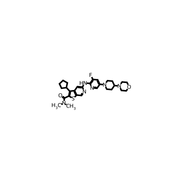 CN(C)C(=O)c1sc2cnc(Nc3ncc(N4CCC(N5CCOCC5)CC4)cc3F)cc2c1C1CCCC1